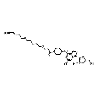 C#CCOCCOCCOCCOCCC(=O)N1CCC(Nc2nc(Cl)nc3c2cnn3[C@@H]2O[C@H](CO)C[C@H]2O)CC1